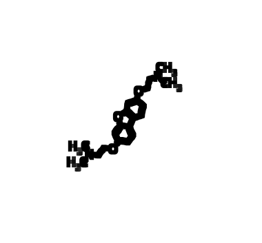 CN(C)CCOc1ccc2c(c1)oc1cc(OCCN(C)C)ccc12